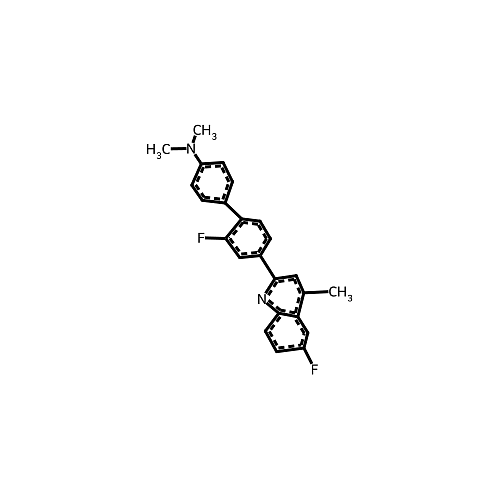 Cc1cc(-c2ccc(-c3ccc(N(C)C)cc3)c(F)c2)nc2ccc(F)cc12